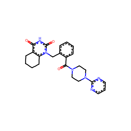 O=C(c1ccccc1Cn1c2c(c(=O)[nH]c1=O)CCCC2)N1CCN(c2ncccn2)CC1